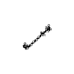 CN1C(=O)C[C@H]2CS[C@@H](CCCCC(=O)NCCOCCOCCOCCOCCC(=O)ON3C(=O)CCC3=O)[C@H]21